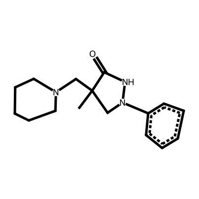 CC1(CN2CCCCC2)CN(c2ccccc2)NC1=O